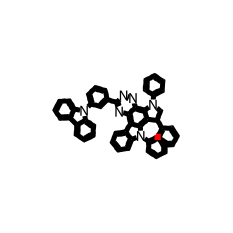 c1ccc(C2CN(c3ccccc3)c3c2c2c(c4ccccc4n2-c2ccccc2)c2nc(-c4cccc(-n5c6ccccc6c6ccccc65)c4)nnc32)cc1